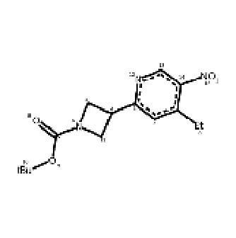 CCc1cc(C2CN(C(=O)OC(C)(C)C)C2)ncc1[N+](=O)[O-]